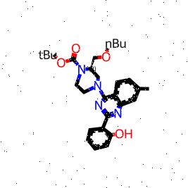 CCCCOC[C@H]1CN(c2nc(-c3ccccc3O)nc3cc(C)ccc23)CCN1C(=O)OC(C)(C)C